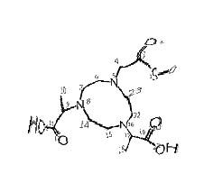 CSC(=O)CN1CCN(C(C)C(=O)O)CCN(C(C)C(=O)O)CC1